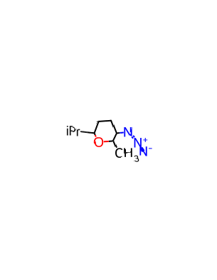 CC(C)C1CCC(N=[N+]=[N-])C(C)O1